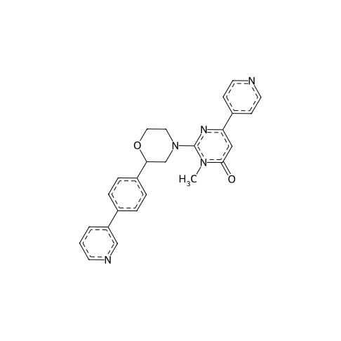 Cn1c(N2CCOC(c3ccc(-c4cccnc4)cc3)C2)nc(-c2ccncc2)cc1=O